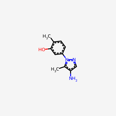 Cc1ccc(-n2ncc(N)c2C)cc1O